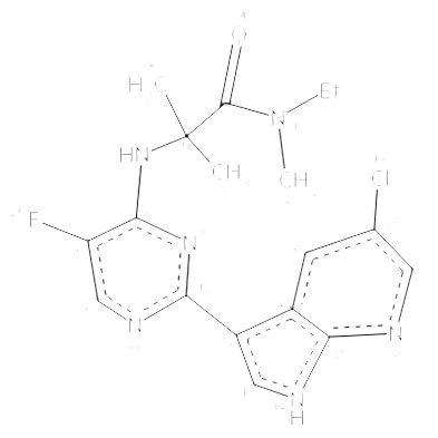 CCN(C)C(=O)C(C)(C)Nc1nc(-c2c[nH]c3ncc(Cl)cc23)ncc1F